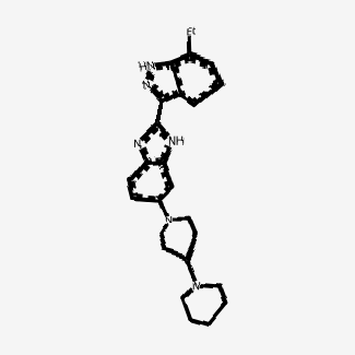 CCc1cccc2c(-c3nc4ccc(N5CCC(N6CCCCC6)CC5)cc4[nH]3)n[nH]c12